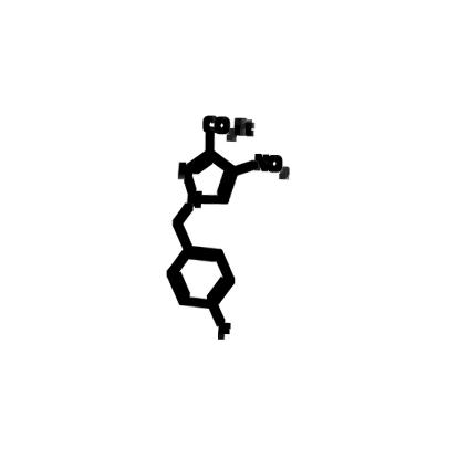 CCOC(=O)c1nn(Cc2ccc(F)cc2)cc1[N+](=O)[O-]